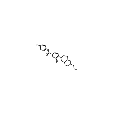 CCCC1CCC2CC(c3ccc(C(=O)Oc4ccc(F)cc4)cc3F)CCC2C1